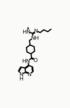 CCCC/N=C(/NC)NCC1CCC(C(=O)Nc2ccnc3[nH]ccc23)CC1